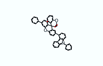 c1ccc(-c2ccc3c(c2)Oc2ccc(-c4cccc5c4c4ccccc4n5-c4ccccc4)cc2C32c3ccccc3Oc3ccccc32)cc1